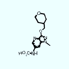 Cn1nc(OCC2CCOCC2)c2ncc(NC(=O)O)cc21